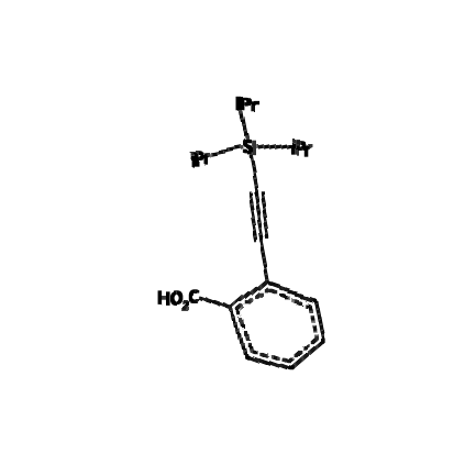 CC(C)[Si](C#Cc1ccccc1C(=O)O)(C(C)C)C(C)C